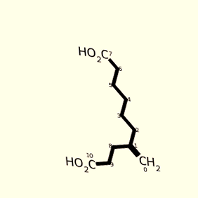 C=C(CCCCCC(=O)O)CCC(=O)O